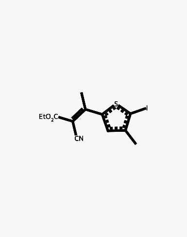 CCOC(=O)C(C#N)=C(C)c1cc(C)c(I)s1